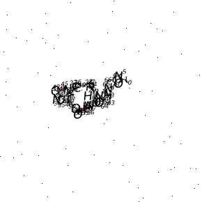 C=CC(=O)N(C)CC1CCN(CN(C)[C@H](C(=O)N[C@H]2Cc3nc(cs3)-c3ccc4c(c3)c(c(-c3cccnc3[C@H](C)OC)n4CC)CC(C)(C)COC(=O)[C@@H]3CCCN(N3)C2=O)C(C)C)CC1